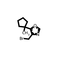 CC1(c2ocnc2CBr)CCCC1